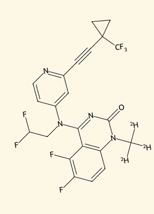 [2H]C([2H])([2H])n1c(=O)nc(N(CC(F)F)c2ccnc(C#CC3(C(F)(F)F)CC3)c2)c2c(F)c(F)ccc21